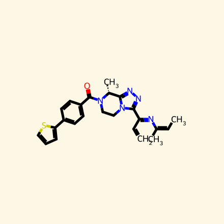 C=C/C(=N\C(C)=C/C)c1nnc2n1CCN(C(=O)c1ccc(-c3cccs3)cc1)[C@@H]2C